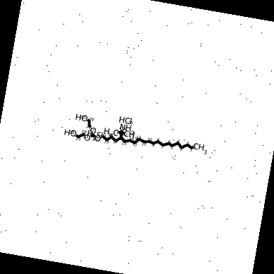 CCCCCCCCCCCCCCCCC(CCC[SiH2]OC(OCCO)OCCO)C(C)(C)N.Cl